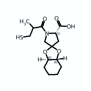 CC(CS)C(=O)N1CC2(C[C@H]1C(=O)O)O[C@@H]1CCCC[C@H]1O2